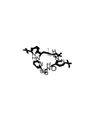 C[C@H]1CC(c2cccc(C(C)(C)C)n2)Nc2cccc(n2)S(=O)(=O)NC(=O)c2ccc(C(C)(C)C)nc2N2C[C@@H]1CC2(C)C